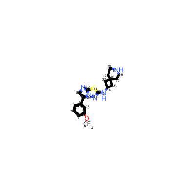 FC(F)(F)Oc1cccc(-c2cnc3sc(NC4CC5(CCNCC5)C4)nn23)c1